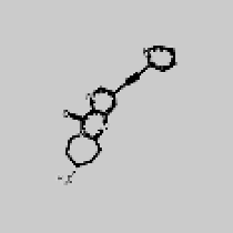 C[C@H]1CCc2nc3cc(C#Cc4ccccn4)cnc3c(=O)n2CC1